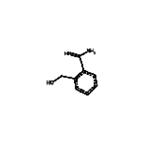 N=C(N)c1ccccc1CO